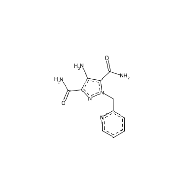 NC(=O)c1nn(Cc2ccccn2)c(C(N)=O)c1N